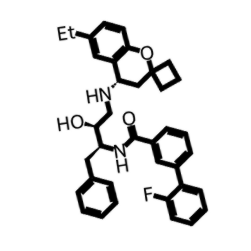 CCc1ccc2c(c1)[C@@H](NC[C@H](O)[C@H](Cc1ccccc1)NC(=O)c1cccc(-c3ccccc3F)c1)CC1(CCC1)O2